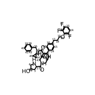 O=C(C1C[C@@H](O)CN1)N1CC2CC(c3ccc(CCCOc4c(F)ccc(F)c4F)cc3)=C(C(=O)N(Cc3ccccc3)C3CC3)[C@@H](C1)N2